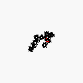 c1ccc(-c2cccc(N(c3ccc(-c4cccc5c4oc4cc6oc(-c7ccccc7)nc6cc45)cc3)c3cccc4c5ccccc5n(-c5ccccc5)c34)c2)cc1